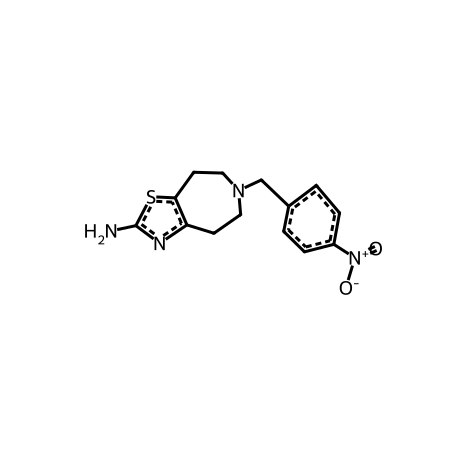 Nc1nc2c(s1)CCN(Cc1ccc([N+](=O)[O-])cc1)CC2